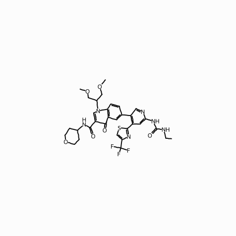 CCNC(=O)Nc1cc(-c2nc(C(F)(F)F)cs2)c(-c2ccc3c(c2)c(=O)c(C(=O)NC2CCOCC2)cn3C(COC)COC)cn1